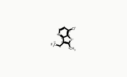 Cc1sc2c(Cl)ccnc2c1CC(F)(F)F